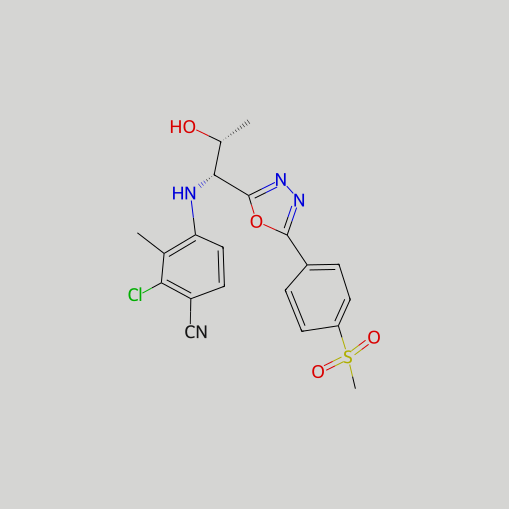 Cc1c(N[C@@H](c2nnc(-c3ccc(S(C)(=O)=O)cc3)o2)[C@@H](C)O)ccc(C#N)c1Cl